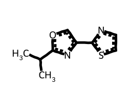 CC(C)c1nc(-c2nccs2)co1